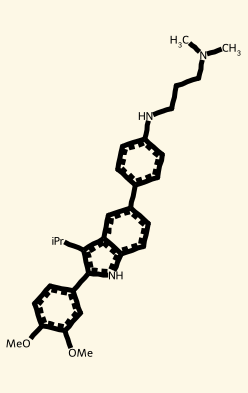 COc1ccc(-c2[nH]c3ccc(-c4ccc(NCCCN(C)C)cc4)cc3c2C(C)C)cc1OC